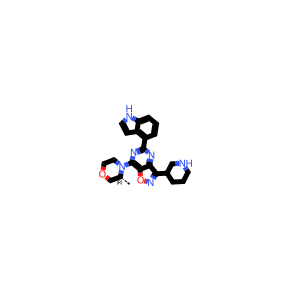 C[C@@H]1COCCN1c1nc(-c2cccc3[nH]ccc23)nc2c(C3CCCNC3)noc12